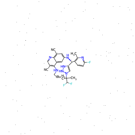 Cc1nc(F)ccc1[C@H](Nc1cc(C#N)c2ncc(C#N)c(NCC(C)(C)C)c2c1)C1=CN(C(C)(C)C(F)F)NN1